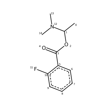 CC(OC(=O)c1ccccc1F)N(C)C